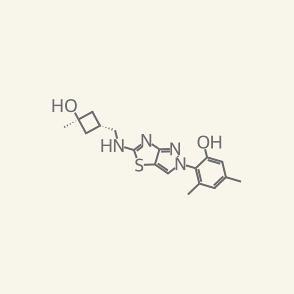 Cc1cc(C)c(-n2cc3sc(NC[C@H]4C[C@](C)(O)C4)nc3n2)c(O)c1